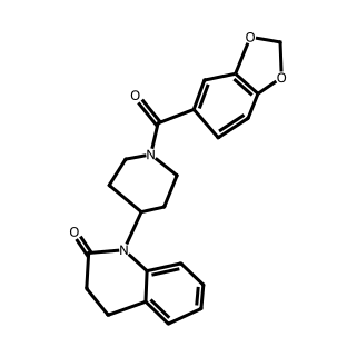 O=C(c1ccc2c(c1)OCO2)N1CCC(N2C(=O)CCc3ccccc32)CC1